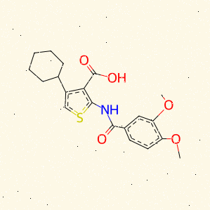 COc1ccc(C(=O)Nc2scc(C3CCCCC3)c2C(=O)O)cc1OC